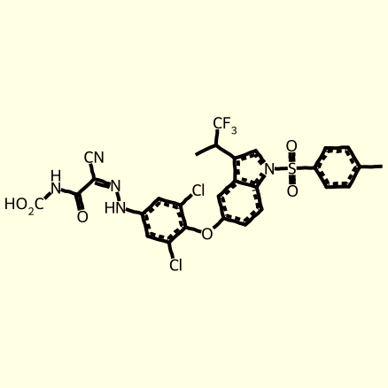 Cc1ccc(S(=O)(=O)n2cc(C(C)C(F)(F)F)c3cc(Oc4c(Cl)cc(N/N=C(/C#N)C(=O)NC(=O)O)cc4Cl)ccc32)cc1